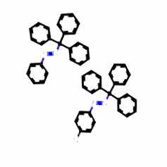 O=[N+]([O-])c1ccc(N=NC(c2ccccc2)(c2ccccc2)c2ccccc2)cc1.c1ccc(N=NC(c2ccccc2)(c2ccccc2)c2ccccc2)cc1